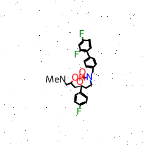 CNCC(O)C[C@]1(c2ccc(F)cc2)CCN([C@@H](C)c2ccc(-c3ccc(F)cc3F)cc2)C(=O)O1